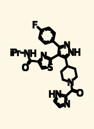 CC(C)NC(=O)c1csc(-c2c(-c3ccc(F)cc3)n[nH]c2C2CCN(C(=O)c3ncc[nH]3)CC2)n1